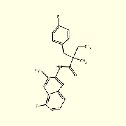 Cc1nc2c(F)cccc2cc1NC(=O)C(C)(Cc1ccc(F)cc1)CC(F)(F)F